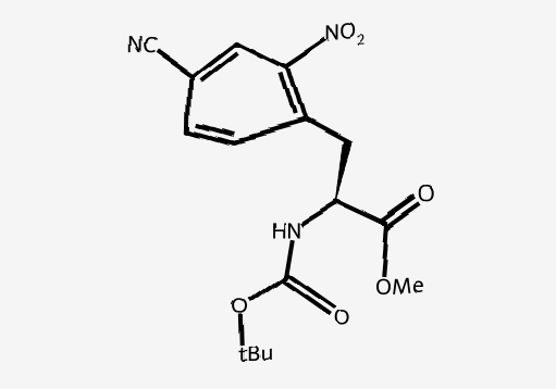 COC(=O)[C@H](Cc1ccc(C#N)cc1[N+](=O)[O-])NC(=O)OC(C)(C)C